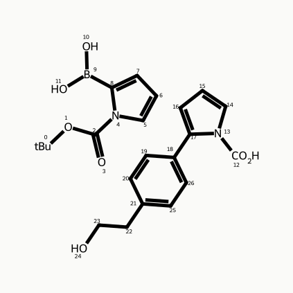 CC(C)(C)OC(=O)n1cccc1B(O)O.O=C(O)n1cccc1-c1ccc(CCO)cc1